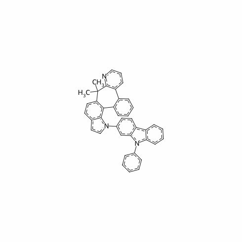 CC1(C)c2ccc3ccn(-c4ccc5c6ccccc6n(-c6ccccc6)c5c4)c3c2-c2ccccc2-c2cccnc21